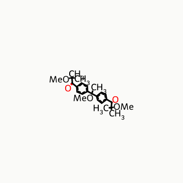 COC(C)(C)C(=O)c1ccc(C(C)(OC)c2ccc(C(=O)C(C)(C)OC)cc2)cc1